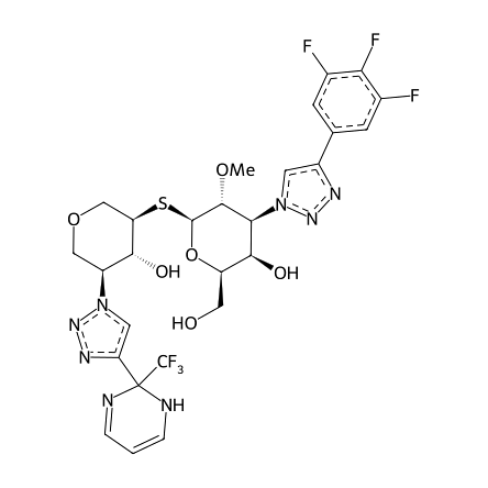 CO[C@@H]1[C@@H](n2cc(-c3cc(F)c(F)c(F)c3)nn2)[C@@H](O)[C@@H](CO)O[C@H]1S[C@@H]1COC[C@H](n2cc(C3(C(F)(F)F)N=CC=CN3)nn2)[C@H]1O